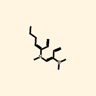 C=C/C(=C\N(C)/C(C=C)=C/CCC)B(C)C